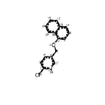 Clc1ccc(COc2cccc3ccccc23)cn1